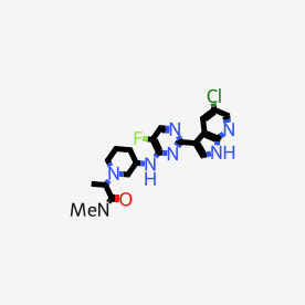 CNC(=O)C(C)N1CCCC(Nc2nc(-c3c[nH]c4ncc(Cl)cc34)ncc2F)C1